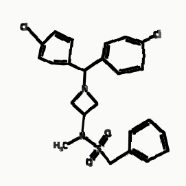 CN(C1CN(C(c2ccc(Cl)cc2)c2ccc(Cl)cc2)C1)S(=O)(=O)Cc1ccccc1